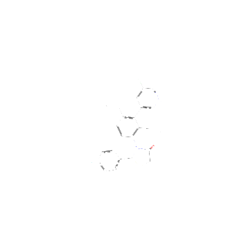 Cc1c(N2C(=O)CSC2c2ccc(F)cc2)ccc(C(=O)O)c1-c1cncc(Cl)c1